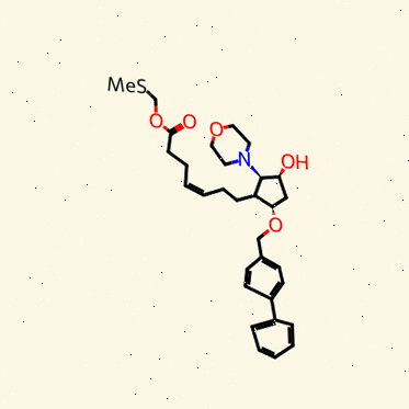 CSCOC(=O)CC/C=C\CCC1[C@@H](OCc2ccc(-c3ccccc3)cc2)C[C@H](O)[C@@H]1N1CCOCC1